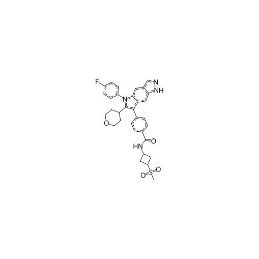 CS(=O)(=O)C1CC(NC(=O)c2ccc(-c3c(C4CCOCC4)n(-c4ccc(F)cc4)c4cc5cn[nH]c5cc34)cc2)C1